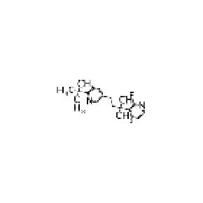 CC(C)(C)c1ccc(CCC(C)(C)c2cccnc2F)cn1